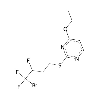 CCOc1ccnc(SCCC(F)C(F)(F)Br)n1